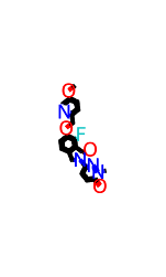 COc1ccc(COc2ccc3c(c2F)C(=O)N(c2ccc(=O)n(C)n2)C3)nc1